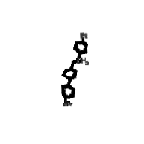 CCCc1ccc(C2C=CC(C[SiH2]c3ccc(CC)cc3)CC2)cc1